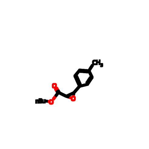 CCCCOC(=O)C1OC1c1ccc(C)cc1